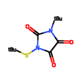 CC(C)(C)SN1C(=O)C(=O)N(C(C)(C)C)C1=O